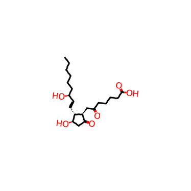 CCCCCC[C@H](O)/C=C/[C@H]1[C@H](O)CC(=O)[C@@H]1CC(=O)CCCCC(=O)O